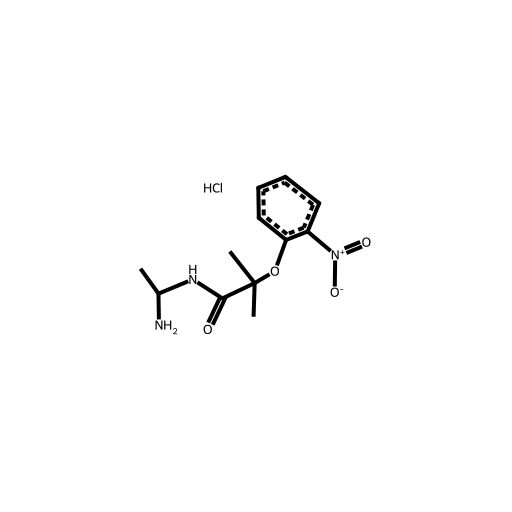 CC(N)NC(=O)C(C)(C)Oc1ccccc1[N+](=O)[O-].Cl